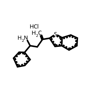 C=C(CC(N)c1ccccc1)c1cc2ccccc2s1.Cl